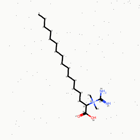 CCCCCCCCCCCCCCCC(C(=O)O)[N+](C)(C)C(=N)N